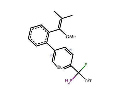 C=C(/C=C\C(=C/C(C)CC)c1ccccc1C(OC)=C(C)C)C(F)(P)CCC